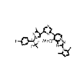 COc1c(-c2cncc(-c3cn([C@H](c4ccc(F)cc4)C(C)(F)F)nc3C)n2)ccn2nc(-n3c(C)ccc3C)nc12